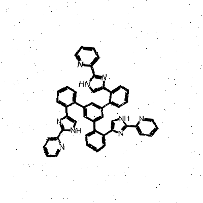 c1ccc(-c2nc(-c3ccccc3-c3cc(-c4ccccc4-c4c[nH]c(-c5ccccn5)n4)cc(-c4ccccc4-c4c[nH]c(-c5ccccn5)n4)c3)c[nH]2)nc1